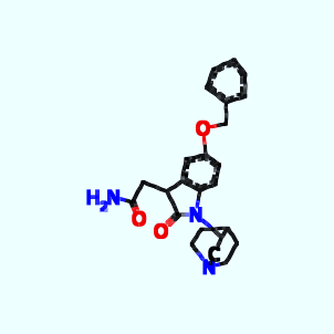 NC(=O)CC1C(=O)N(C2CN3CCC2CC3)c2ccc(OCc3ccccc3)cc21